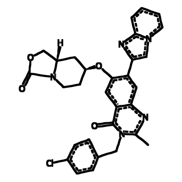 Cc1nc2cc(-c3cn4ccccc4n3)c(O[C@H]3CCN4C(=O)OC[C@@H]4C3)cc2c(=O)n1Cc1ccc(Cl)cc1